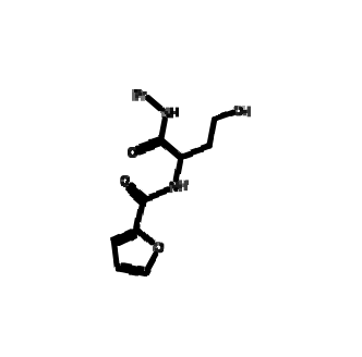 CC(C)NC(=O)C(CCO)NC(=O)c1ccco1